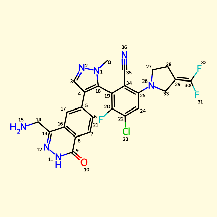 Cn1ncc(-c2ccc3c(=O)[nH]nc(CN)c3c2)c1-c1c(F)c(Cl)cc(N2CCC(=C(F)F)C2)c1C#N